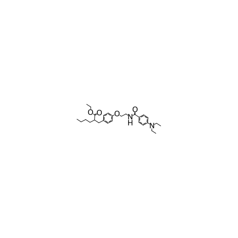 CCCCC(Cc1ccc(OCCNC(=O)c2ccc(N(CC)CC)cc2)cc1)C(=O)OCC